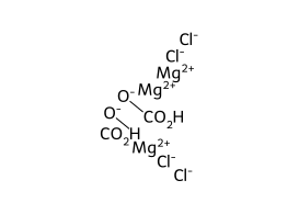 O=C([O-])O.O=C([O-])O.[Cl-].[Cl-].[Cl-].[Cl-].[Mg+2].[Mg+2].[Mg+2]